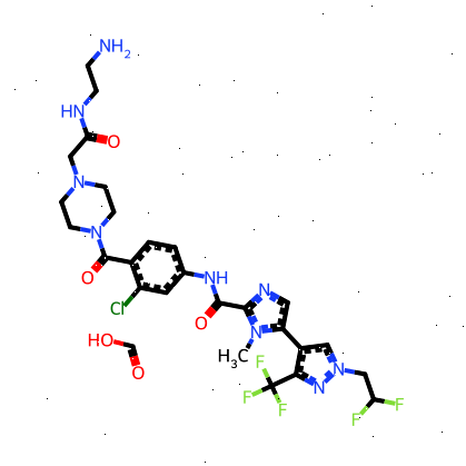 Cn1c(-c2cn(CC(F)F)nc2C(F)(F)F)cnc1C(=O)Nc1ccc(C(=O)N2CCN(CC(=O)NCCN)CC2)c(Cl)c1.O=CO